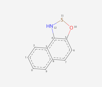 c1ccc2c3c(ccc2c1)OSN3